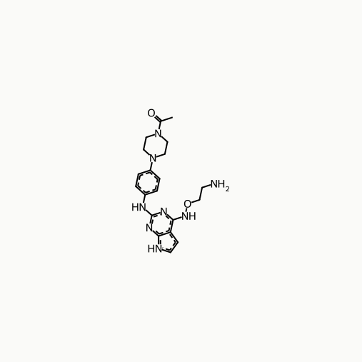 CC(=O)N1CCN(c2ccc(Nc3nc(NOCCN)c4cc[nH]c4n3)cc2)CC1